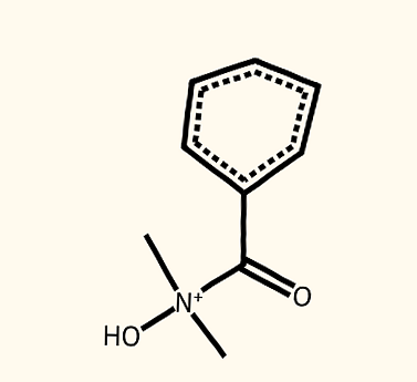 C[N+](C)(O)C(=O)c1ccccc1